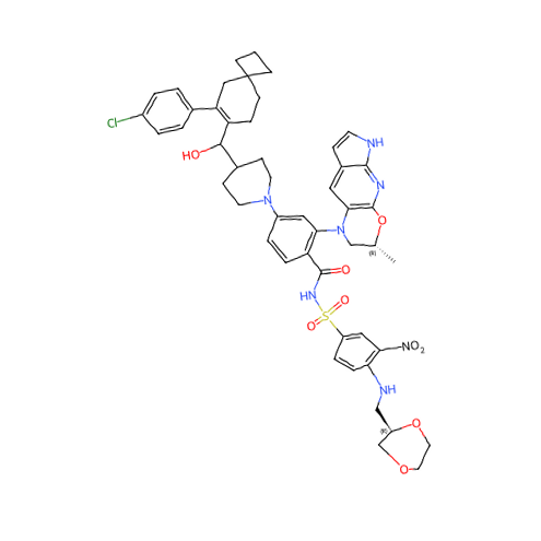 C[C@@H]1CN(c2cc(N3CCC(C(O)C4=C(c5ccc(Cl)cc5)CC5(CCC5)CC4)CC3)ccc2C(=O)NS(=O)(=O)c2ccc(NC[C@@H]3COCCO3)c([N+](=O)[O-])c2)c2cc3cc[nH]c3nc2O1